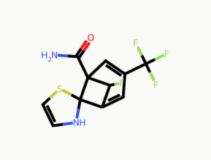 NC(=O)C12C=C(C(F)(F)F)C=C(C1F)C21NC=CS1